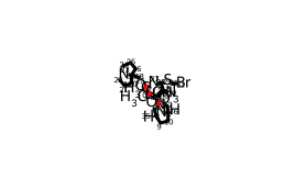 CC(C)(C)OC(=O)N1[C@@H]2CC[C@H]1CN(c1nc(OCC34CCCN3CCC4)nc3sc(Br)nc13)C2